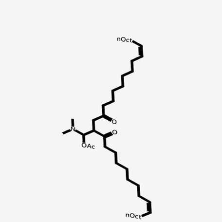 CCCCCCCC/C=C\CCCCCCCC(=O)CC(C(=O)CCCCCCC/C=C\CCCCCCCC)C(OC(C)=O)N(C)C